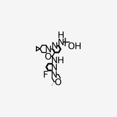 C[C@@H]1CN(c2nc(NC(=O)c3ccc(NC(C)(C)CO)nc3N3CCC4(CC3)CC4)ccc2F)CCO1